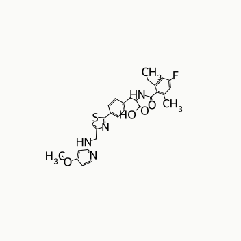 CCc1cc(F)cc(C)c1C(=O)NC(Cc1ccc(-c2nc(CNc3cc(OC)ccn3)cs2)cc1)C(=O)O